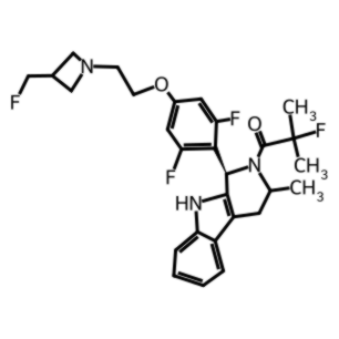 CC1Cc2c([nH]c3ccccc23)[C@@H](c2c(F)cc(OCCN3CC(CF)C3)cc2F)N1C(=O)C(C)(C)F